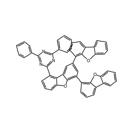 c1ccc(-c2nc(-c3ccccc3)nc(-c3cccc4oc5c(-c6cccc7c6oc6ccccc67)cc(-c6cccc7c6oc6ccccc67)cc5c34)n2)cc1